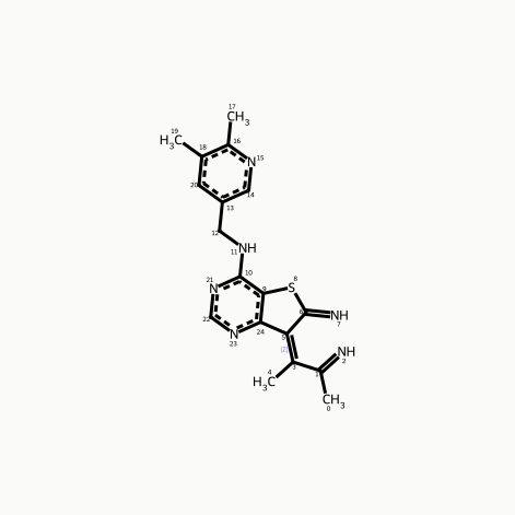 CC(=N)/C(C)=C1\C(=N)Sc2c(NCc3cnc(C)c(C)c3)ncnc21